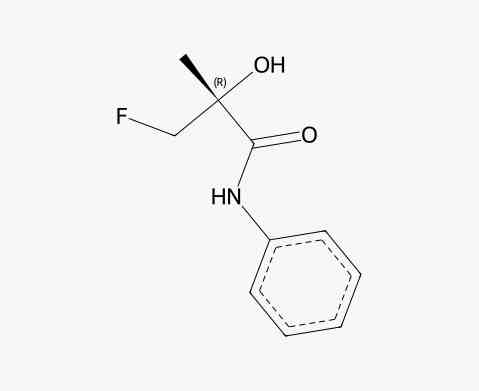 C[C@](O)(CF)C(=O)Nc1ccccc1